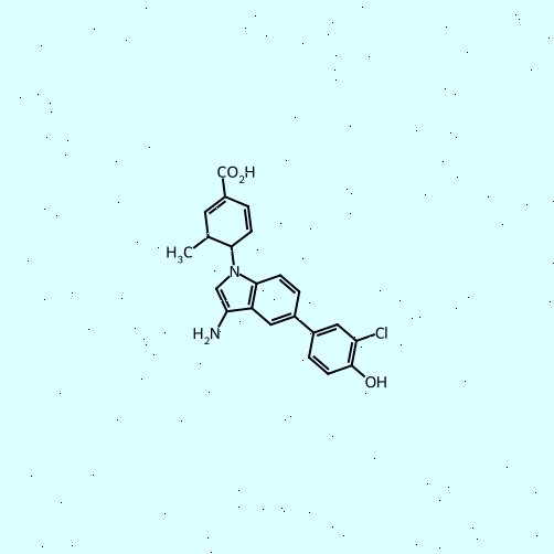 CC1C=C(C(=O)O)C=CC1n1cc(N)c2cc(-c3ccc(O)c(Cl)c3)ccc21